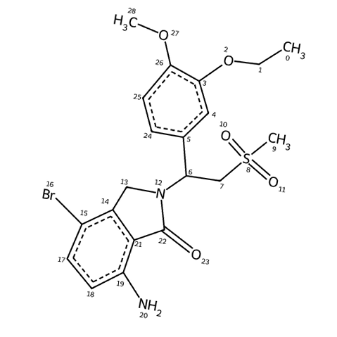 CCOc1cc(C(CS(C)(=O)=O)N2Cc3c(Br)ccc(N)c3C2=O)ccc1OC